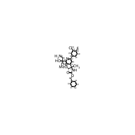 COCC(C)(NC(=O)OCc1ccccc1)c1cc(-c2ccc(F)c(Cl)c2)nc(C(C)(O)CN)c1